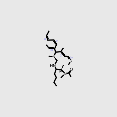 C\C=C/C=C\C(=C/C)C(/C(C)=C/C=N\C)N(C)CNC(CCCC)[C@@H](C)N(C)C(C)=O